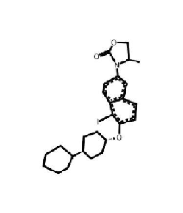 C[C@@H]1COC(=O)N1c1ccc2c(I)c(O[C@H]3CC[C@H](C4CCCCC4)CC3)ccc2c1